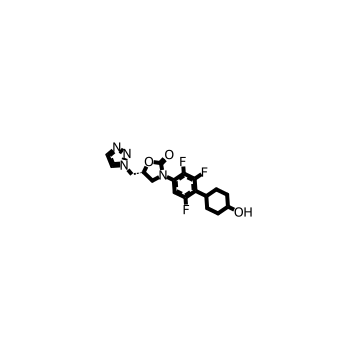 O=C1O[C@@H](Cn2ccnn2)CN1c1cc(F)c(C2CCC(O)CC2)c(F)c1F